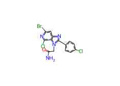 NC(=O)Cn1c(-c2ccc(Cl)cc2)nc2cc(Br)nc(Cl)c21